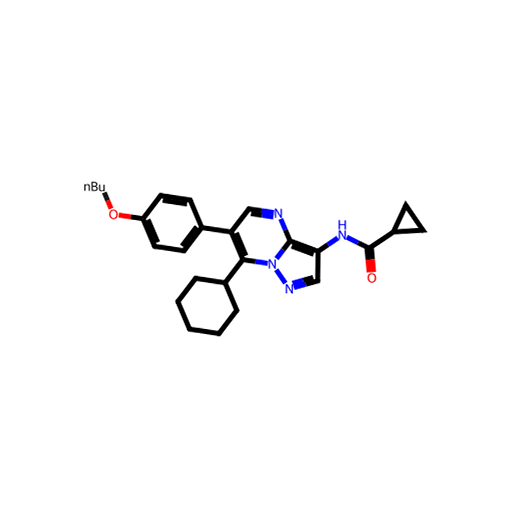 CCCCOc1ccc(-c2cnc3c(NC(=O)C4CC4)cnn3c2C2CCCCC2)cc1